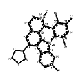 Cc1ccc2c3c(C4CCCC4)cc4cc[n+](C)c5c6c(C)c(C)cc(C)c6n(c2c1)c3c45